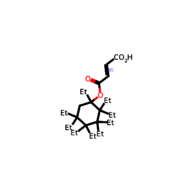 CCC1(CC)CC(CC)(OC(=O)/C=C/C(=O)O)C(CC)(CC)C(CC)(CC)C1(CC)CC